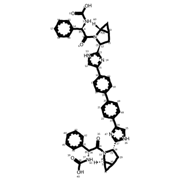 O=C(O)N[C@@H](C(=O)N1[C@@H]2CC2C[C@H]1c1nc(-c2ccc(-c3ccc(-c4c[nH]c([C@@H]5CC6C[C@H]6N5C(=O)[C@H](NC(=O)O)c5ccccc5)n4)cc3)cc2)c[nH]1)c1ccccc1